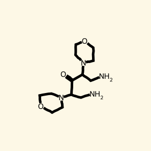 NCC(C(=O)C(CN)N1CCOCC1)N1CCOCC1